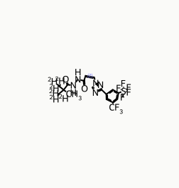 [2H]C([2H])([2H])C(C)(C(=O)NNC(=O)/C=C\n1cnc(-c2cc(C(F)(F)F)cc(S(F)(F)(F)(F)F)c2)n1)C([2H])([2H])[2H]